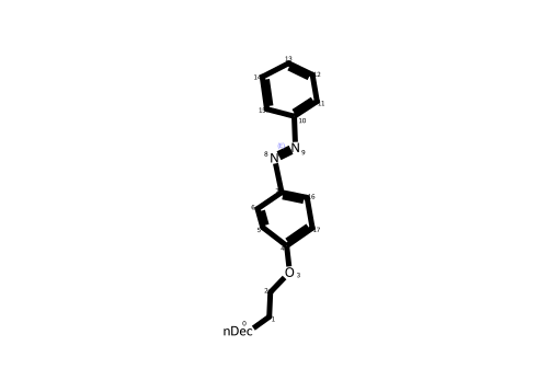 CCCCCCCCCCCCOc1ccc(/N=N/c2ccccc2)cc1